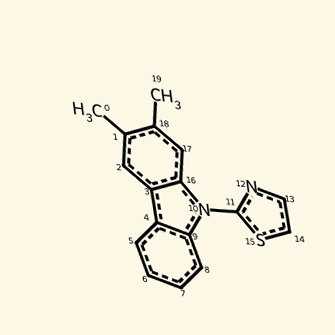 Cc1cc2c3ccccc3n(-c3nccs3)c2cc1C